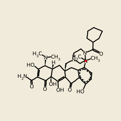 CN(C)c1ccc(O)c2c1C[C@@]1(CN3CCN(C(=O)C4CCCCC4)CC3)C[C@H]3[C@H](N(C)C)C(O)=C(C(N)=O)C(=O)[C@@]3(O)C(O)=C1C2=O